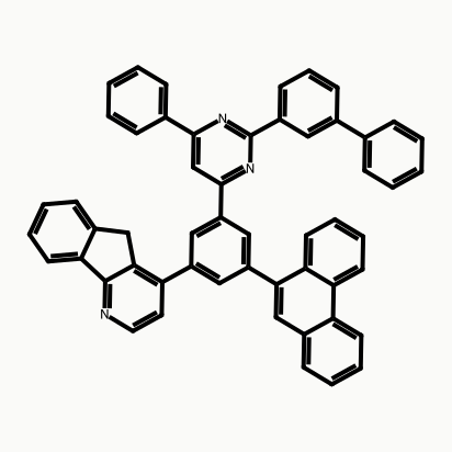 c1ccc(-c2cccc(-c3nc(-c4ccccc4)cc(-c4cc(-c5ccnc6c5Cc5ccccc5-6)cc(-c5cc6ccccc6c6ccccc56)c4)n3)c2)cc1